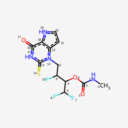 CNC(=O)OC(C(F)F)C(F)Cn1c(=S)[nH]c(=O)c2[nH]ccc21